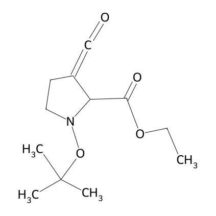 CCOC(=O)C1C(=C=O)CCN1OC(C)(C)C